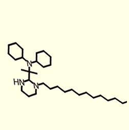 CCCCCCCCCCCCCCN1CCCNC1C(C)(C)N(C1CCCCC1)C1CCCCC1